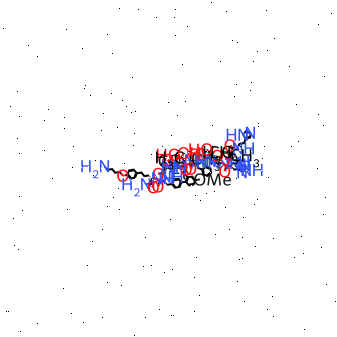 CCc1cc(OC)ccc1-c1ccc(C[C@H](NC(=O)C(CC(=O)O)NC(=O)C(CO)NC(=O)[C@@H](NC(=O)[C@](C)(Cc2ccccc2F)NC(=O)[C@@H](NC(=O)CNC(=O)[C@H](Cc2nn[nH]n2)NC(=O)C(C)(C)C(=O)NCCc2cnc[nH]2)[C@@H](C)O)[C@@H](C)O)C(=O)N[C@@H](CCCc2ccc(OCCCCN)cc2)C(N)=O)cc1